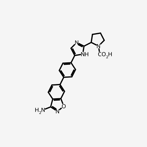 Nc1noc2cc(-c3ccc(-c4cnc(C5CCCN5C(=O)O)[nH]4)cc3)ccc12